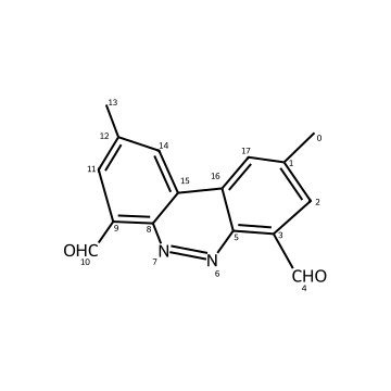 Cc1cc(C=O)c2nnc3c(C=O)cc(C)cc3c2c1